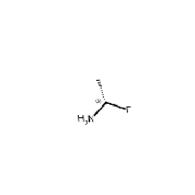 C[C@@H](N)F